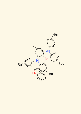 Cc1cc2c3c(c1)N(c1ccc(C(C)(C)C)cc1-c1cc4ccccc4o1)c1ccc(C(C)(C)C)cc1B3c1cc(C(C)(C)C)ccc1N2c1ccc(C(C)(C)C)cc1